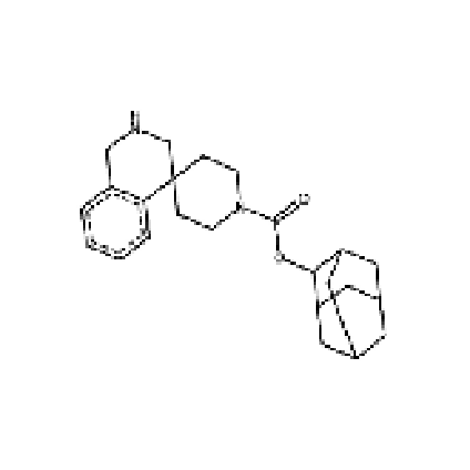 O=C(OC1C2CC3CC(C2)CC1C3)N1CCC2(CC1)CNCc1ccccc12